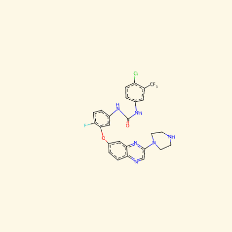 O=C(Nc1ccc(F)c(Oc2ccc3ncc(N4CCNCC4)nc3c2)c1)Nc1ccc(Cl)c(C(F)(F)F)c1